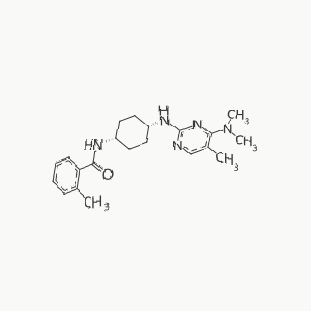 Cc1ccccc1C(=O)N[C@H]1CC[C@@H](Nc2ncc(C)c(N(C)C)n2)CC1